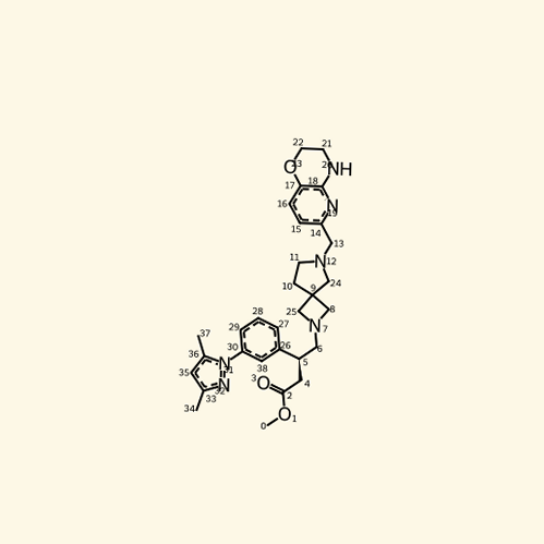 COC(=O)C[C@H](CN1CC2(CCN(Cc3ccc4c(n3)NCCO4)C2)C1)c1cccc(-n2nc(C)cc2C)c1